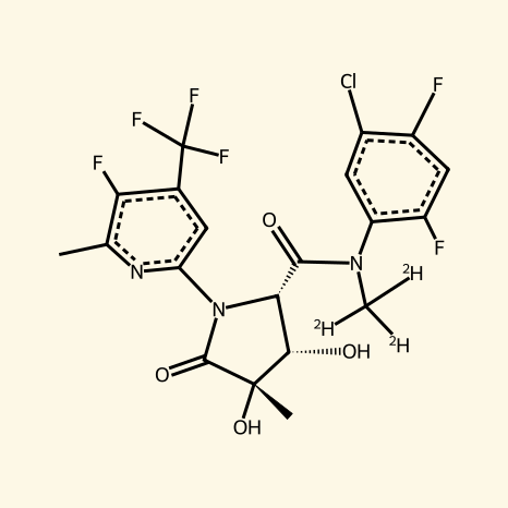 [2H]C([2H])([2H])N(C(=O)[C@@H]1[C@H](O)[C@](C)(O)C(=O)N1c1cc(C(F)(F)F)c(F)c(C)n1)c1cc(Cl)c(F)cc1F